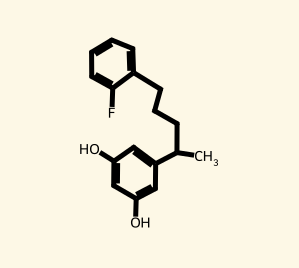 CC(CCCc1ccccc1F)c1cc(O)cc(O)c1